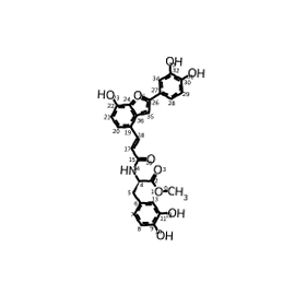 COC(=O)[C@@H](Cc1ccc(O)c(O)c1)NC(=O)/C=C/c1ccc(O)c2oc(-c3ccc(O)c(O)c3)cc12